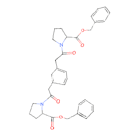 O=C(OCc1ccccc1)C1CCCN1C(=O)Cc1cccc(CC(=O)N2CCCC2C(=O)OCc2ccccc2)c1